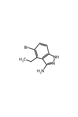 CCc1c(Br)ccc2[nH]nc(N)c12